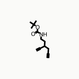 C#CCC(C#C)CCNC(=O)OC(C)(C)C